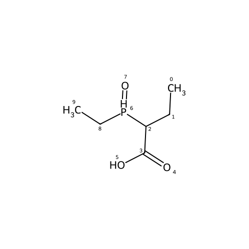 CCC(C(=O)O)[PH](=O)CC